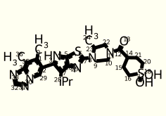 Cc1c(-c2[nH]c3sc(N4CCN(C(=O)C5CCS(O)(O)CC5)CC4C)nc3c2C(C)C)cn2ncnc2c1C